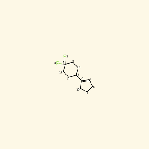 FC1(F)CCC(C2=CCCC2)CC1